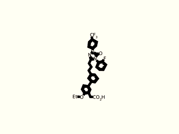 CCOc1ccc(-c2cccc(CCCc3nn(-c4ccc(C(F)(F)F)cc4)c(=O)n3-c3ccccc3F)c2)cc1CC(=O)O